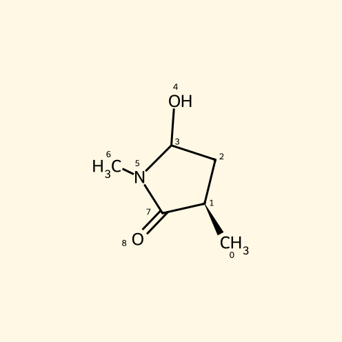 C[C@@H]1CC(O)N(C)C1=O